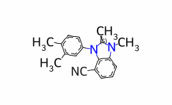 Cc1ccc(N2c3c(C#N)cccc3N(C)[C@@H]2C)cc1C